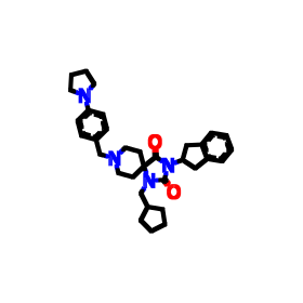 O=C1N(C2Cc3ccccc3C2)C(=O)C2(CCN(Cc3ccc(N4CCCC4)cc3)CC2)N1CC1CCCC1